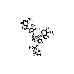 CCC1=C(N)c2ncn([C@@H]3O[C@H](COP(=O)(O)OP(=O)(O)O)[C@@H](OP(=O)(O)OC[C@H]4O[C@@H](n5cnc6c(=O)[nH]c(N)nc65)[C@H](O)[C@@H]4O)[C@H]3OC)c2N=CC1